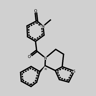 Cn1cc(C(=O)N2CCc3sccc3[C@H]2c2ccccc2)ccc1=O